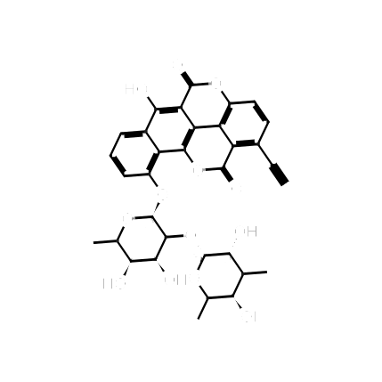 C#Cc1ccc2oc(=O)c3c(O)c4cccc(O[C@@H]5OC(C)[C@H](O)[C@H](O)C5O[C@H]5OC(C)[C@H](O)C(C)[C@H]5O)c4c4oc(=O)c1c2c34